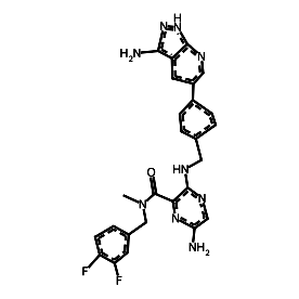 CN(Cc1ccc(F)c(F)c1)C(=O)c1nc(N)cnc1NCc1ccc(-c2cnc3[nH]nc(N)c3c2)cc1